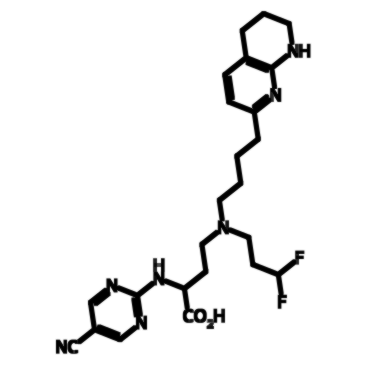 N#Cc1cnc(NC(CCN(CCCCc2ccc3c(n2)NCCC3)CCC(F)F)C(=O)O)nc1